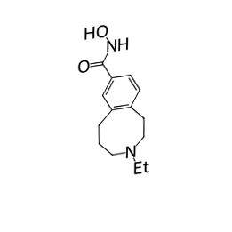 CCN1CCCc2cc(C(=O)NO)ccc2CC1